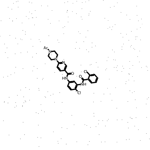 CC(=O)N1CCN(c2ccc(C(=O)Nc3ccc(Cl)c(NC(=O)c4ccccc4Cl)c3)cn2)CC1